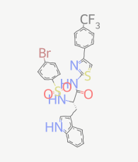 O=C(Nc1nc(-c2ccc(C(F)(F)F)cc2)cs1)[C@H](Cc1c[nH]c2ccccc12)NS(=O)(=O)c1ccc(Br)cc1